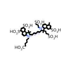 Cc1cc(S(=O)(=O)O)cc2c3c(ccc12)[N+](CCCS(=O)(=O)O)=C(/C=C/C=C/C=C1/N(CCCCCC(=O)O)c2ccc4c(S(=O)(=O)O)cc(S(=O)(=O)O)cc4c2C1(C)C)C3(C)CCCS(=O)(=O)O